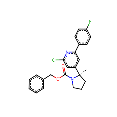 C[C@]1(c2cc(Cl)nc(-c3ccc(F)cc3)c2)CCCN1C(=O)OCc1ccccc1